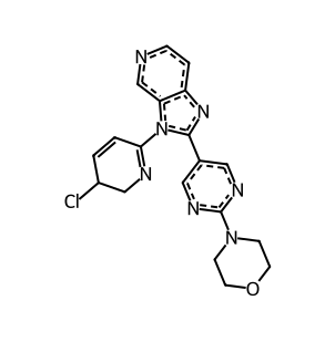 ClC1C=CC(n2c(-c3cnc(N4CCOCC4)nc3)nc3ccncc32)=NC1